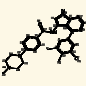 Cc1cc(-c2ncnc3[nH]cc(NC(=O)c4ccc(N5CCN(C)CC5)cc4)c23)cc(Cl)c1C